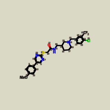 COc1ccc(-c2cnc(SCC(=O)NCC3CCCN(Cc4ccc(Cl)c(C(F)(F)F)c4)C3)nc2)cc1